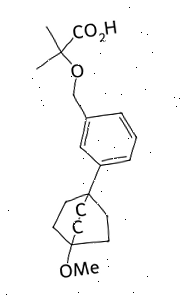 COC12CCC(c3cccc(COC(C)(C)C(=O)O)c3)(CC1)CC2